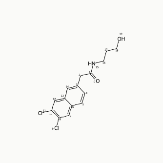 O=C(Cc1ccc2cc(Cl)c(Cl)cc2c1)NCCCO